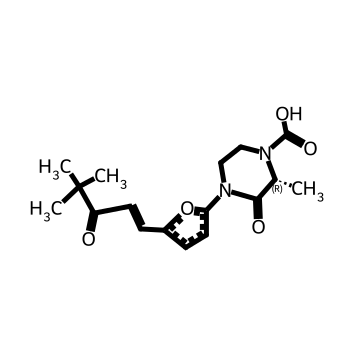 C[C@@H]1C(=O)N(c2ccc(C=CC(=O)C(C)(C)C)o2)CCN1C(=O)O